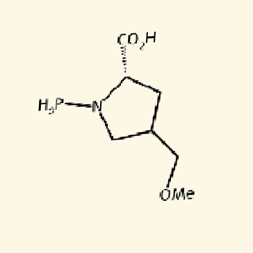 COCC1C[C@@H](C(=O)O)N(P)C1